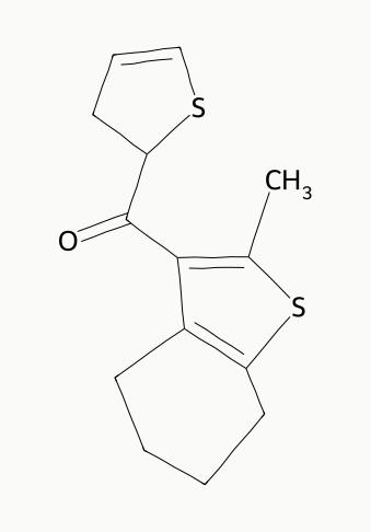 Cc1sc2c(c1C(=O)C1CC=CS1)CCCC2